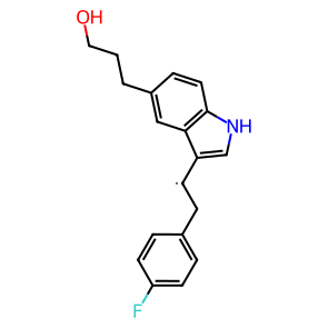 OCCCc1ccc2[nH]cc([CH]Cc3ccc(F)cc3)c2c1